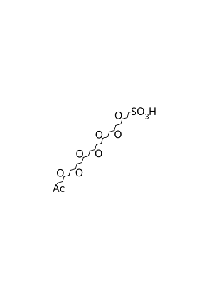 CC(=O)CCC(=O)CCC(=O)CCC(=O)CCC(=O)CCC(=O)CCC(=O)CCC(=O)CCS(=O)(=O)O